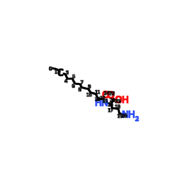 CCCCCCCCCCCCCC(=O)NC(CCCN)C(=O)O